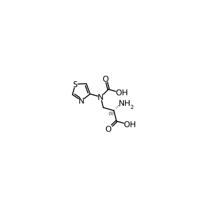 N[C@@H](CN(C(=O)O)c1cscn1)C(=O)O